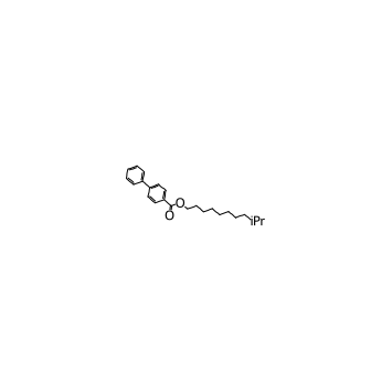 CC(C)CCCCCCCCOC(=O)c1ccc(-c2ccccc2)cc1